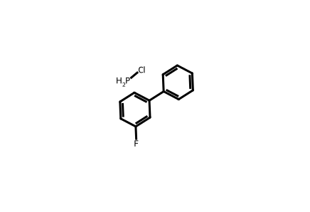 Fc1cccc(-c2ccccc2)c1.PCl